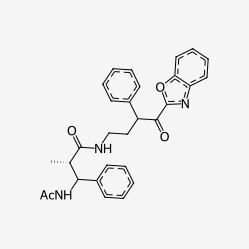 CC(=O)NC(c1ccccc1)[C@H](C)C(=O)NCCC(C(=O)c1nc2ccccc2o1)c1ccccc1